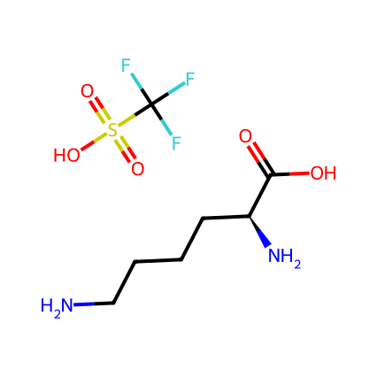 NCCCC[C@H](N)C(=O)O.O=S(=O)(O)C(F)(F)F